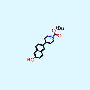 CC(C)(C)OC(=O)N1CC=C(c2ccc3cc(O)ccc3c2)CC1